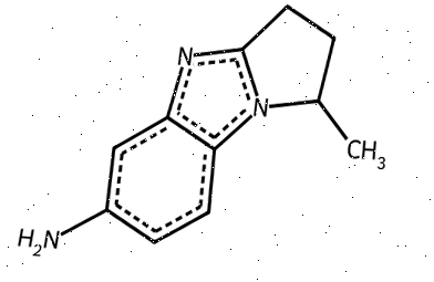 CC1CCc2nc3cc(N)ccc3n21